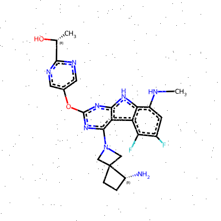 CNc1cc(F)c(F)c2c1[nH]c1nc(Oc3cnc([C@@H](C)O)nc3)nc(N3CC4(CC[C@H]4N)C3)c12